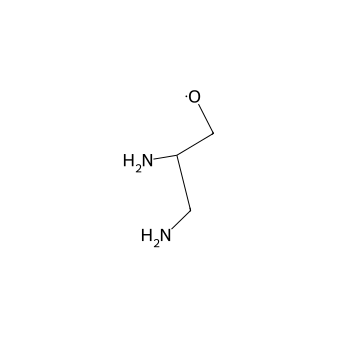 NCC(N)C[O]